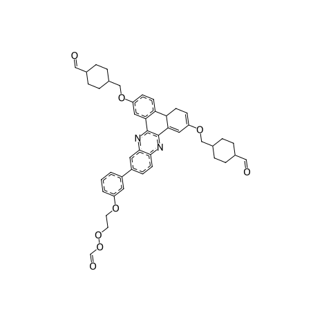 O=COOCCOc1cccc(-c2ccc3nc4c(nc3c2)-c2cc(OCC3CCC(C=O)CC3)ccc2C2CC=C(OCC3CCC(C=O)CC3)C=C42)c1